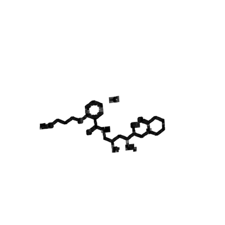 COCCCOc1ccccc1C(=O)NCC(CC(N)C(O)CN1CCCCC1=O)C(C)C.Cl